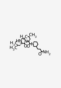 CC(C)C[C@@H]1NCCN([C@@H](CC(C)C)C(=O)N2CCCC(CCC(N)=O)C2)C1=O